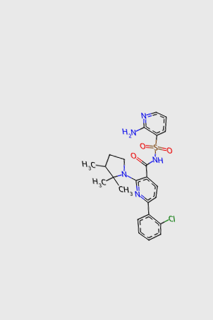 CC1CCN(c2nc(-c3ccccc3Cl)ccc2C(=O)NS(=O)(=O)c2cccnc2N)C1(C)C